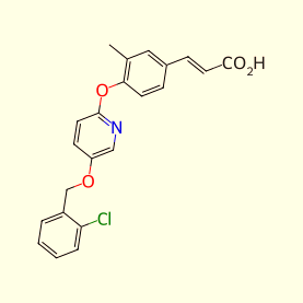 Cc1cc(C=CC(=O)O)ccc1Oc1ccc(OCc2ccccc2Cl)cn1